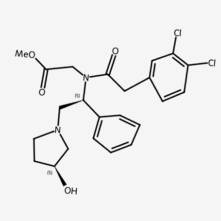 COC(=O)CN(C(=O)Cc1ccc(Cl)c(Cl)c1)[C@H](CN1CC[C@H](O)C1)c1ccccc1